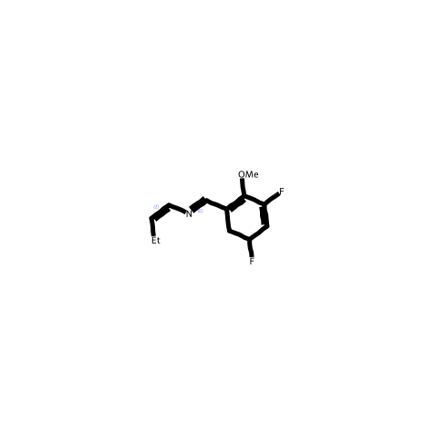 CC/C=C\N=C\C1=C(OC)C(F)=CC(F)C1